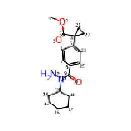 COC(=O)C1(c2ccc(C(=O)N(N)C3CCCCC3)cc2)CC1